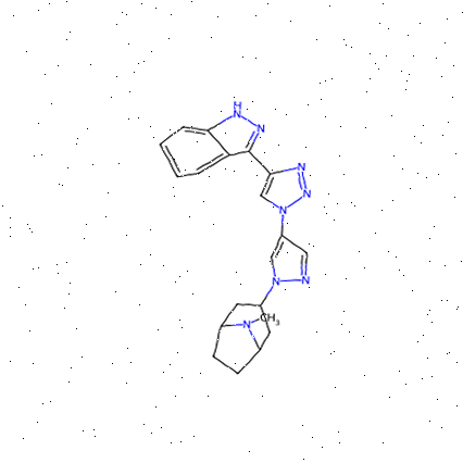 CN1C2CCC1CC(n1cc(-n3cc(-c4n[nH]c5ccccc45)nn3)cn1)C2